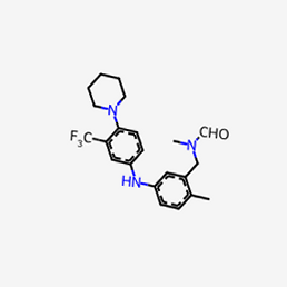 Cc1ccc(Nc2ccc(N3CCCCC3)c(C(F)(F)F)c2)cc1CN(C)C=O